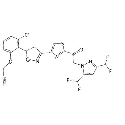 C#CCOc1cccc(Cl)c1C1CC(c2csc(C(=O)Cn3nc(C(F)F)cc3C(F)F)n2)=NO1